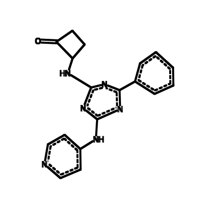 O=C1CCC1Nc1nc(Nc2ccncc2)nc(-c2ccccc2)n1